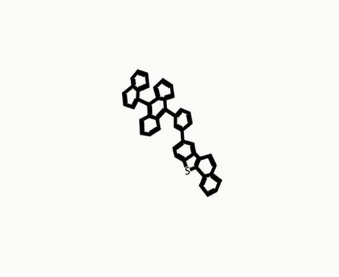 c1cc(-c2ccc3sc4c5ccccc5ccc4c3c2)cc(-c2c3ccccc3c(-c3cccc4ccccc34)c3ccccc23)c1